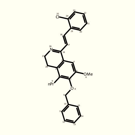 CCCc1c2c(cc(OC)c1OCc1ccccc1)C(C=Cc1ccccc1Cl)=NCC2